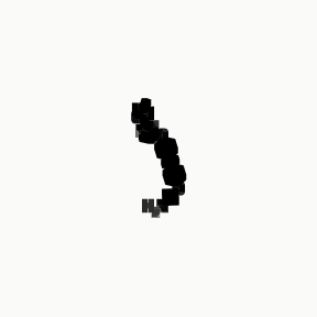 Cc1noc(-c2nccc(Oc3ccc(C(C)(C)c4ccc(O[C@H]5C[C@H](N)C5)cc4)cc3)n2)n1